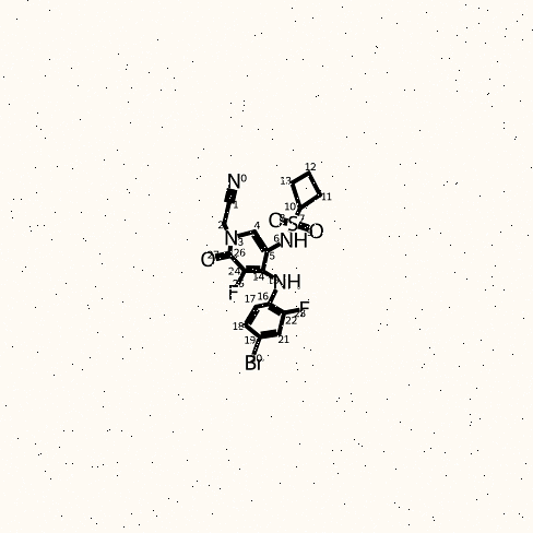 N#CCn1cc(NS(=O)(=O)C2CCC2)c(Nc2ccc(Br)cc2F)c(F)c1=O